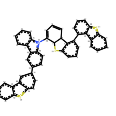 C1=CC2c3c(cccc3-c3cccc4sc5ccccc5c34)SC2C(n2c3ccccc3c3cc(-c4ccc5sc6ccccc6c5c4)ccc32)=C1